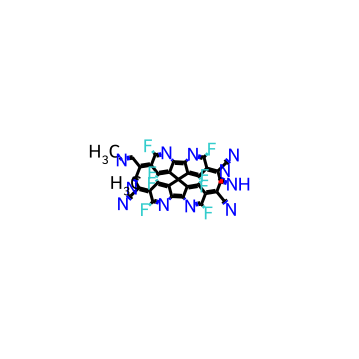 C/N=C/C(C#N)=c1\c(F)nc2c(c1F)C1(c3c(F)c(=C(C#N)C#N)c(F)nc3=c3nc(F)/c(=C(/C)C#N)c(F)c31)c1c(F)/c(=C(/C#N)C=N)c(F)nc1=2